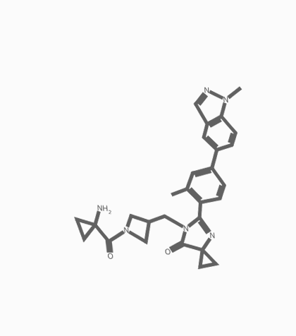 Cc1cc(-c2ccc3c(cnn3C)c2)ccc1C1=NC2(CC2)C(=O)N1CC1CN(C(=O)C2(N)CC2)C1